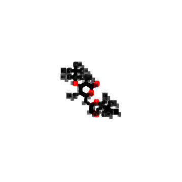 C[C@@H]1[C@H](O[Si](C)(C)C(C)(C)C)[C@@H](C)C(=O)O[C@H]1C[C@@H](C=O)O[Si](C)(C)C(C)(C)C